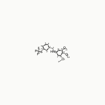 COc1cc(NCc2cccc(SC(F)(F)F)c2)cc(OC)c1OC